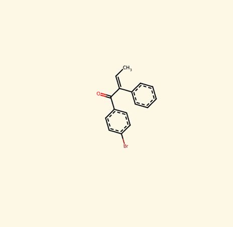 CC=C(C(=O)c1ccc(Br)cc1)c1ccccc1